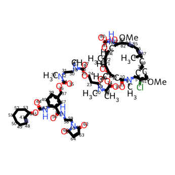 COc1cc2cc(c1Cl)N(C)C(=O)C[C@H](OC(=O)[C@H](C)N(C)C(=O)CCOC(=O)N(C)CCN(C)C(=O)OCc1ccc(NC(=O)OC3/C=C/CCCCC3)c(C(=O)NCCN3C(=O)C=CC3=O)c1)C1(C)O[C@H]1[C@H](C)[C@@H]1C[C@@](O)(NC(=O)O1)[C@H](OC)/C=C/C=C(\C)C2